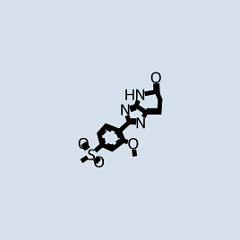 COc1cc(S(C)(=O)=O)ccc1C1=NC2=CCC(=O)NC2=N1